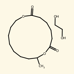 CC1CCCCCCCOC(=O)CCCCC(=O)O1.OCCO